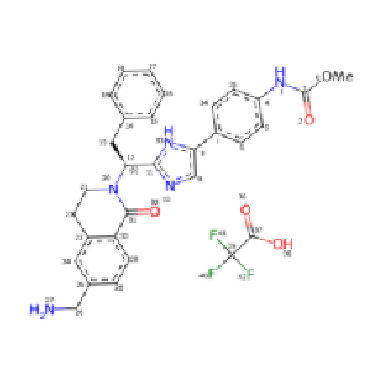 COC(=O)Nc1ccc(-c2cnc([C@H](Cc3ccccc3)N3CCc4cc(CN)ccc4C3=O)[nH]2)cc1.O=C(O)C(F)(F)F